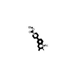 CC(=O)N1c2ccc(C3CCN(C(=O)OC(C)(C)C)CC3)cc2CC(C)[C@@H]1C